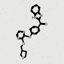 O=C(c1ccc(Oc2nccnc2OCC2CCOC2)cc1)c1nc2ccccc2[nH]1